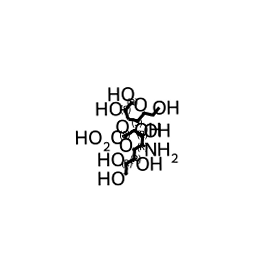 N[C@H]1C([C@H](O)[C@H](O)CO)O[C@@](OC2[C@@H](O)C(CO)O[C@@H](O)[C@H]2O)(C(=O)O)C[C@H]1O